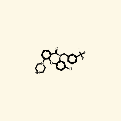 O=C1c2cccc(N3CCNCC3)c2Oc2ccc(Cl)cc2N1Cc1cccc(C(F)(F)F)c1